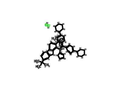 CC(C)(C)c1ccc2c(c1)Cc1c-2ccc(C(C)(C)C)[c]1[Zr+2]([C]1=CC=CC1)=[C](c1ccc(C2CCCCC2)cc1)c1ccc(C2CCCCC2)cc1.[Cl-].[Cl-]